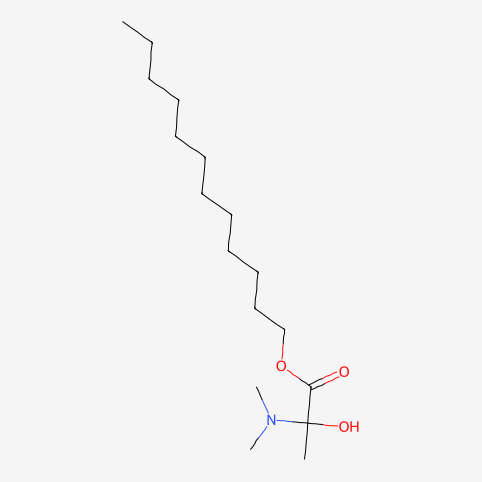 CCCCCCCCCCCCOC(=O)C(C)(O)N(C)C